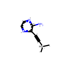 C[SiH](C)C#Cc1nccnc1N